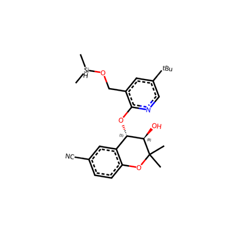 C[SiH](C)OCc1cc(C(C)(C)C)cnc1O[C@H]1c2cc(C#N)ccc2OC(C)(C)[C@@H]1O